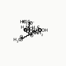 COC(=O)CCCCCN(C(=O)CNC(=O)[C@@H](N)Cc1ccc(O)cc1C)[C@@H](Cc1ccccc1)C(=O)NC(=O)C(N)CC[S+](C)[O-].Cl